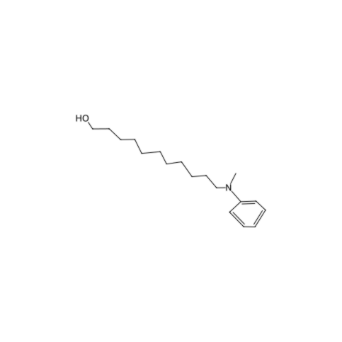 CN(CCCCCCCCCCCO)c1ccccc1